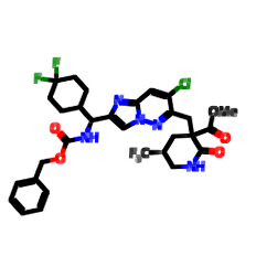 COC(=O)C1(Cc2nn3cc([C@@H](NC(=O)OCc4ccccc4)C4CCC(F)(F)CC4)nc3cc2Cl)C[C@H](C(F)(F)F)CNC1=O